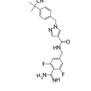 CC(C)(C#N)c1ccc(Cn2cc(C(=O)NCc3cc(F)c(C(=N)N)c(F)c3)cn2)cc1